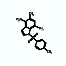 Cc1ccc(S(=O)(=O)n2ccc3c([N+](=O)[O-])c(C)cc(C)c32)cc1